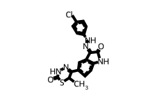 CC1SC(=O)NN=C1c1ccc2c(c1)C(=NNc1ccc(Cl)cc1)C(=O)N2